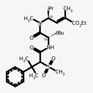 CCOC(=O)C(C)=C[C@H](C(C)C)N(C)C(=O)[C@@H](NC(=O)C(C(C)(C)c1ccccc1)S(C)(=O)=O)C(C)(C)C